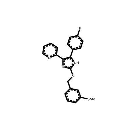 CSc1cccc(CSc2nc(-c3ccccn3)c(-c3ccc(F)cc3)[nH]2)c1